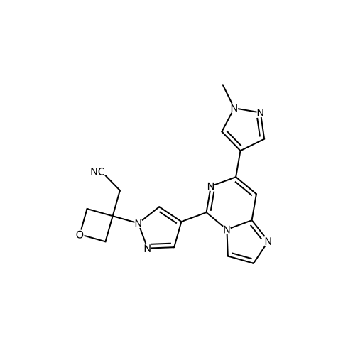 Cn1cc(-c2cc3nccn3c(-c3cnn(C4(CC#N)COC4)c3)n2)cn1